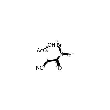 CC(=O)OO.N#CCC(=O)N(Br)Br